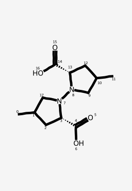 CC1C[C@@H](C(=O)O)N(N2CC(C)C[C@H]2C(=O)O)C1